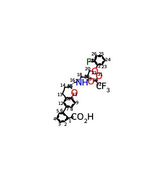 O=C(O)c1ccccc1-c1ccc2c(c1)CC[C@H](CNC[C@@H](COc1ccccc1F)OC(=O)C(F)(F)F)O2